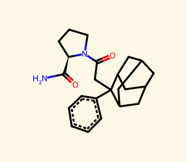 NC(=O)[C@H]1CCCN1C(=O)CC1(c2ccccc2)C2CC3CC(C2)CC1C3